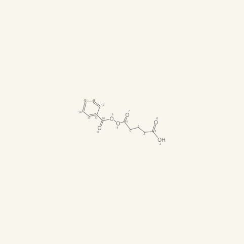 O=C(O)CCCC(=O)OOC(=O)c1ccccc1